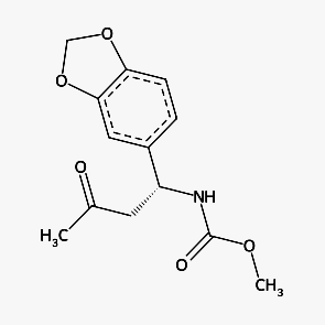 COC(=O)N[C@H](CC(C)=O)c1ccc2c(c1)OCO2